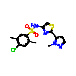 Cc1cc(S(=O)(=O)Nc2csc(-c3ccnn3C)n2)c(C)cc1Cl